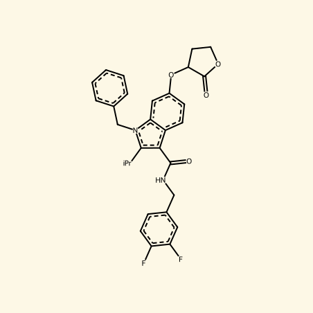 CC(C)c1c(C(=O)NCc2ccc(F)c(F)c2)c2ccc(OC3CCOC3=O)cc2n1Cc1ccccc1